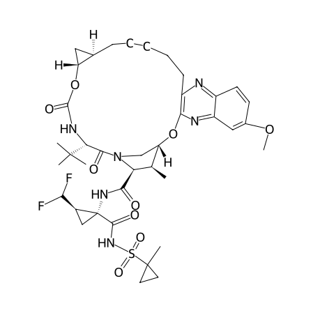 COc1ccc2nc3c(nc2c1)O[C@H]1CN(C(=O)[C@H](C(C)(C)C)NC(=O)O[C@@H]2C[C@H]2CCCCC3)[C@H](C(=O)N[C@]2(C(=O)NS(=O)(=O)C3(C)CC3)C[C@H]2C(F)F)[C@@H]1C